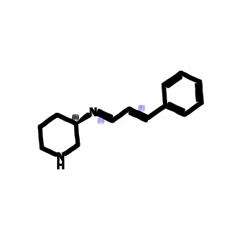 C(=C\c1ccccc1)/C=N/[C@@H]1CCCNC1